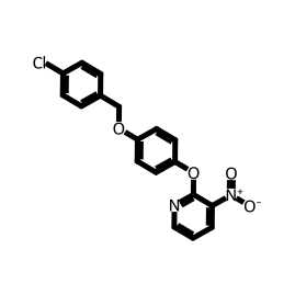 O=[N+]([O-])c1cccnc1Oc1ccc(OCc2ccc(Cl)cc2)cc1